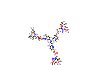 CC(C)(C)OC(=O)N[C@@H](CCC(=O)OCc1ccc2ccc(N(c3ccc4ccc(COC(=O)CC[C@H](NC(=O)OC(C)(C)C)C(=O)OC(C)(C)C)nc4c3)c3ccc4ccc(COC(=O)CC[C@H](NC(=O)OC(C)(C)C)C(=O)OC(C)(C)C)nc4c3)cc2n1)C(=O)OC(C)(C)C